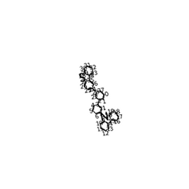 C1=C=C(c2cccc(-n3c4ccccc4c4ccccc43)c2)C=C(c2ccc3sc4ccccc4c3c2)C=1